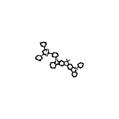 CC1(C)c2cc3c(cc2-c2cc4c5ccccc5n(-c5cccc(-c6nc(-c7ccccc7)cc(-c7ccccc7)n6)c5)c4cc21)c1ccccc1n3-c1ccccc1